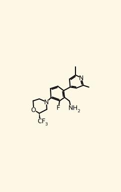 Cc1cc(-c2ccc(N3CCO[C@H](C(F)(F)F)C3)c(F)c2CN)cc(C)n1